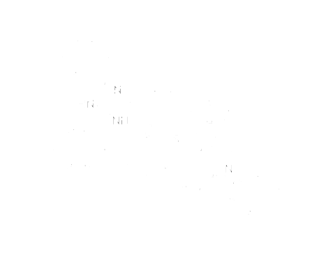 C1=Cc2c(c3c([Si](C4=CCCC(C5=NC(c6ccccc6)NC(c6ccccc6)N5)=C4)(c4ccccc4)c4ccccc4)cccc3n2-c2ccccc2)CC1